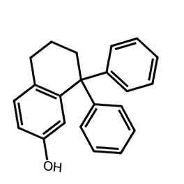 Oc1ccc2c(c1)C(c1ccccc1)(c1ccccc1)CCC2